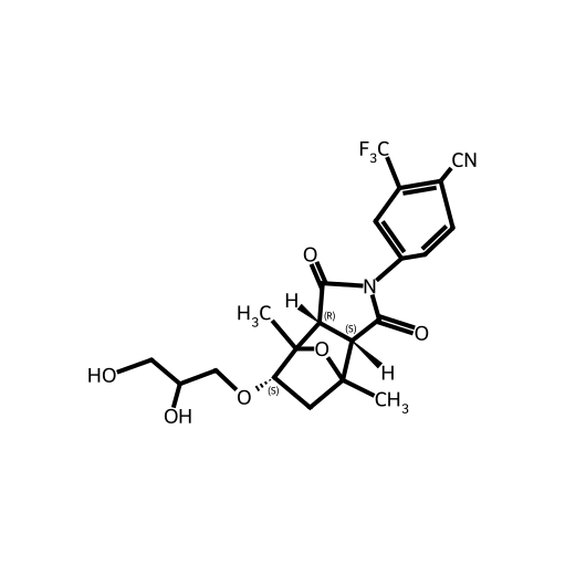 CC12C[C@H](OCC(O)CO)C(C)(O1)[C@@H]1C(=O)N(c3ccc(C#N)c(C(F)(F)F)c3)C(=O)[C@@H]12